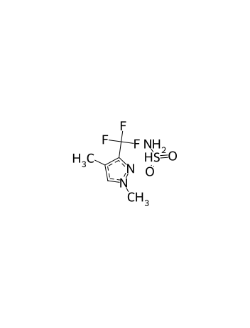 Cc1cn(C)nc1C(F)(F)F.N[SH](=O)=O